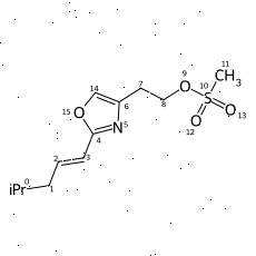 CC(C)CC=Cc1nc(CCOS(C)(=O)=O)co1